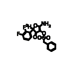 [2H]C1(c2cccc(F)c2F)OC(N)=C(OS(=O)(=O)Cc2ccccc2)C1=O